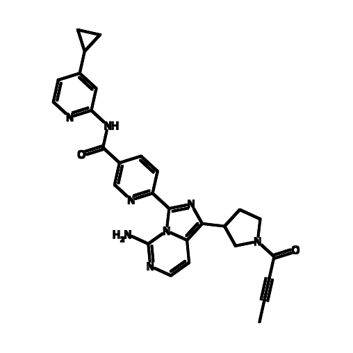 CC#CC(=O)N1CCC(c2nc(-c3ccc(C(=O)Nc4cc(C5CC5)ccn4)cn3)n3c(N)nccc23)C1